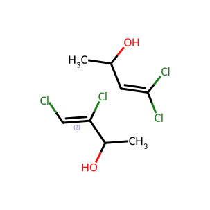 CC(O)/C(Cl)=C/Cl.CC(O)C=C(Cl)Cl